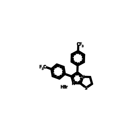 Br.FC(F)(F)c1ccc(-c2nc3n(c2-c2ccc(C(F)(F)F)cc2)CCS3)cc1